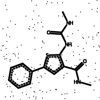 CNC(=O)Nc1sc(-c2ccccc2)cc1C(=O)NC